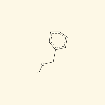 [CH]OCc1ccccc1